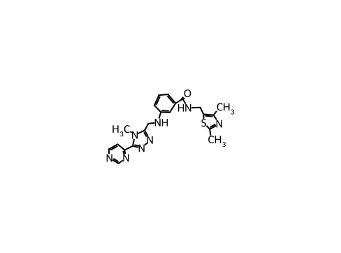 Cc1nc(C)c(CNC(=O)c2cccc(NCc3nnc(-c4ccncn4)n3C)c2)s1